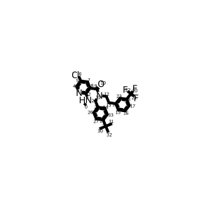 CNc1ncc(Cl)cc1C(=O)N(CCc1cccc(C(F)(F)F)c1)Cc1ccc(C(C)(C)C)cc1